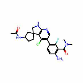 CC(=O)NC1CCC2(CNc3ncc(-c4ccc(N)c(C(=O)N(C)C)c4F)c(Cl)c32)C1